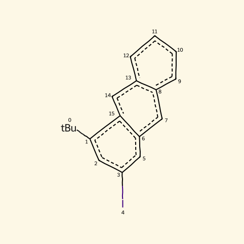 CC(C)(C)c1cc(I)cc2cc3ccccc3cc12